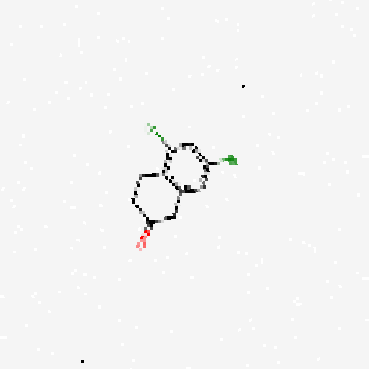 O=C1CCc2c(Br)cc(Br)cc2C1